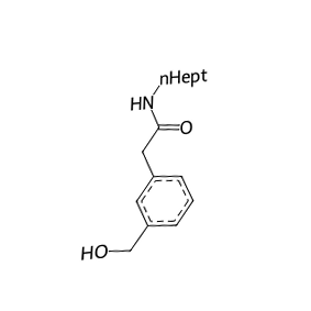 CCCCCCCNC(=O)Cc1cccc(CO)c1